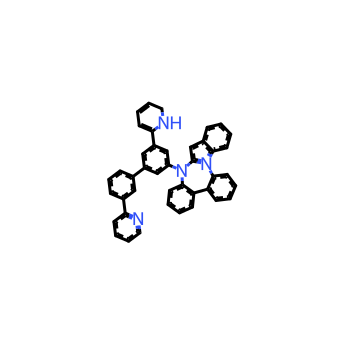 C1=CCNC(c2cc(-c3cccc(-c4ccccn4)c3)cc(N3c4ccccc4-c4ccccc4-n4c3cc3ccccc34)c2)=C1